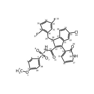 COc1ccc(S(=O)(=O)NC(=O)c2c(-c3ccc[nH]c3=O)c3cc(Cl)ccc3n2Cc2cc(F)ccc2F)cc1